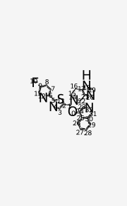 O=C(c1cnc(-c2ccc(F)cn2)s1)N1CCc2[nH]cnc2[C@@H]1c1cc2ccccc2cn1